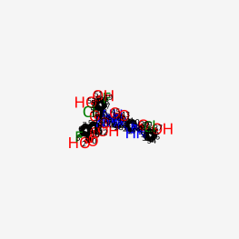 O=C(O)c1c(F)ccc2c1OB(O)[C@@H](NC(=O)C(NC(=O)N1CCN(C3CCN(C(=O)Nc4cccc(O)c4Cl)CC3)C(=O)C1=O)c1cc(F)c(O)c(O)c1Cl)C2